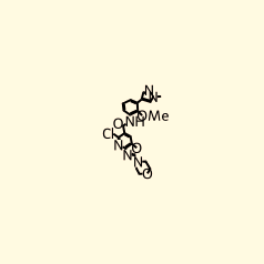 COc1c(NC(=O)c2cc3oc(N4CCOCC4)nc3nc2Cl)cccc1-c1cnn(C)c1